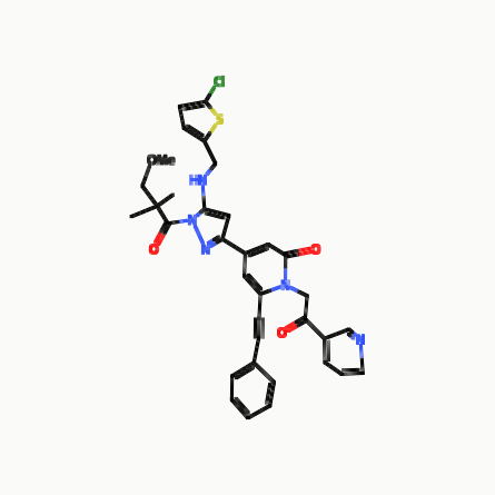 COCC(C)(C)C(=O)n1nc(-c2cc(C#Cc3ccccc3)n(CC(=O)c3cccnc3)c(=O)c2)cc1NCc1ccc(Cl)s1